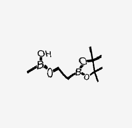 CB(O)OCCB1OC(C)(C)C(C)(C)O1